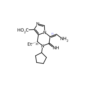 CC[C@@H]1c2c(C(=O)O)ncn2/C(=C/N)C(=N)N1C1CCCC1